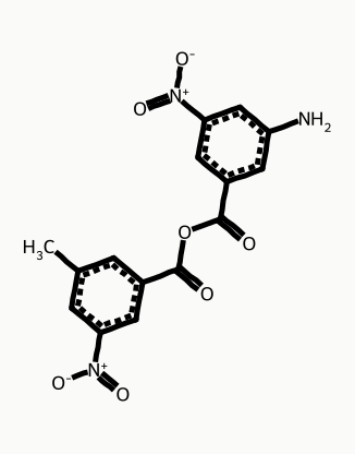 Cc1cc(C(=O)OC(=O)c2cc(N)cc([N+](=O)[O-])c2)cc([N+](=O)[O-])c1